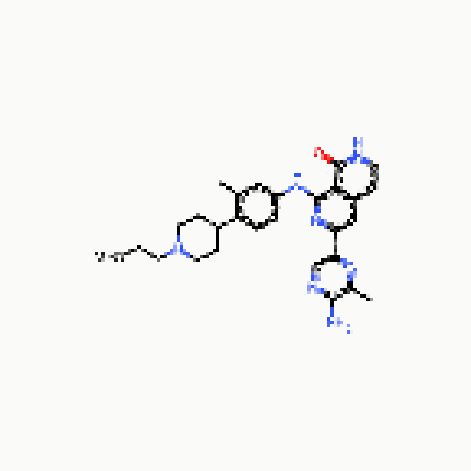 COCCN1CCC(c2ccc(Nc3nc(-c4cnc(N)c(C)n4)cc4cc[nH]c(=O)c34)cc2C)CC1